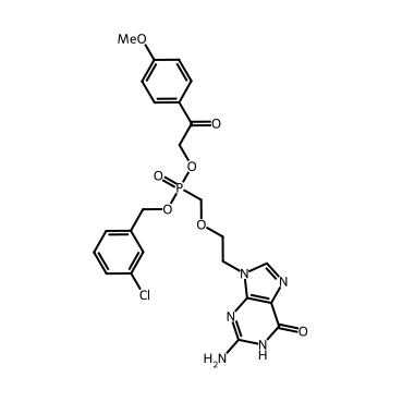 COc1ccc(C(=O)COP(=O)(COCCn2cnc3c(=O)[nH]c(N)nc32)OCc2cccc(Cl)c2)cc1